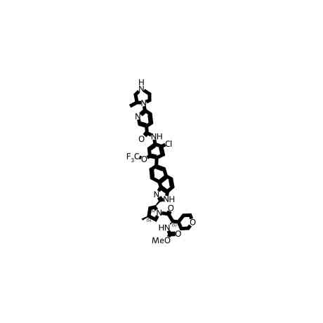 COC(=O)N[C@H](C(=O)N1C[C@@H](C)C[C@H]1c1nc2c(ccc3cc(-c4cc(Cl)c(NC(=O)c5ccc(N6CCNCC6C)nc5)cc4OC(F)(F)F)ccc32)[nH]1)C1CCOCC1